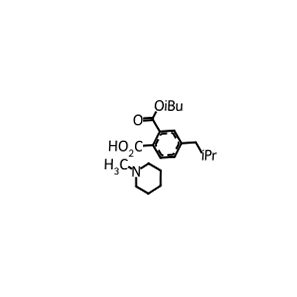 CC(C)COC(=O)c1cc(CC(C)C)ccc1C(=O)O.CN1CCCCC1